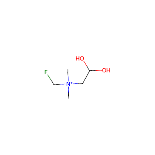 C[N+](C)(CF)CC(O)O